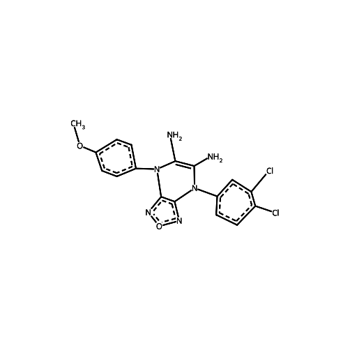 COc1ccc(N2C(N)=C(N)N(c3ccc(Cl)c(Cl)c3)c3nonc32)cc1